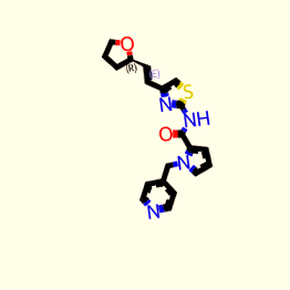 O=C(Nc1nc(/C=C/[C@H]2CCCO2)cs1)c1cccn1Cc1ccncc1